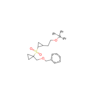 CC(C)[Si](OCCC1CC1S(=O)(=O)C1(COCc2ccccc2)CC1)(C(C)C)C(C)C